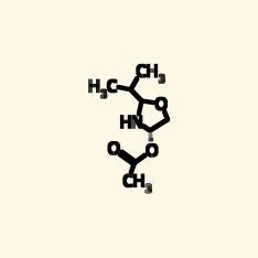 CC(=O)O[C@H]1COC(C(C)C)N1